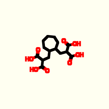 O=C(O)C(CC1CCCCCC1CC(C(=O)O)C(=O)O)C(=O)O